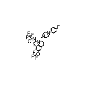 O=C(N=c1sc2cc(OC(F)(F)F)cc3c2n1[C@@H](CN1CCN(c2ccc(F)cc2)CC1)CC3)C(F)(F)F